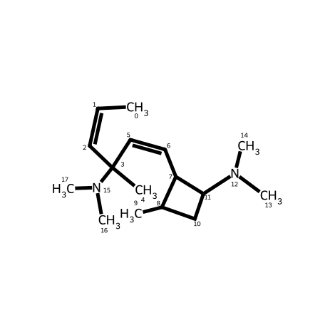 C/C=C\C(C)(/C=C\C1C(C)CC1N(C)C)N(C)C